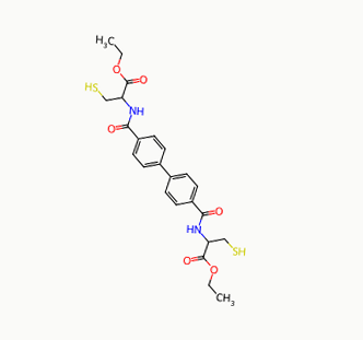 CCOC(=O)C(CS)NC(=O)c1ccc(-c2ccc(C(=O)NC(CS)C(=O)OCC)cc2)cc1